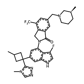 CC1CC(c2cc(N3Cc4c(cc(CN5CCC[C@H](C)C5)cc4C(F)(F)F)C3=O)c3c(F)c[nH]c3c2)(c2nncn2C)C1